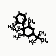 CC1=CC(C(C)(C)C)=CC(C)C1(C)C1=C=C=CC=C1N